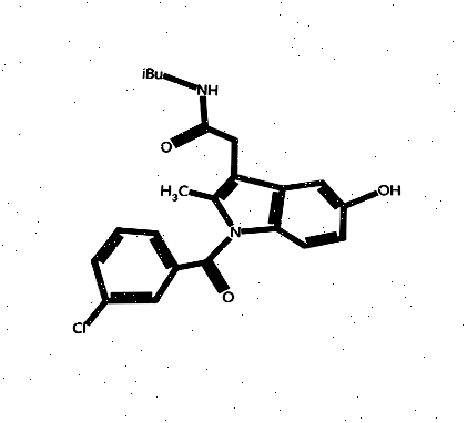 CCC(C)NC(=O)Cc1c(C)n(C(=O)c2cccc(Cl)c2)c2ccc(O)cc12